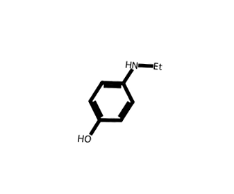 CCNc1ccc(O)cc1